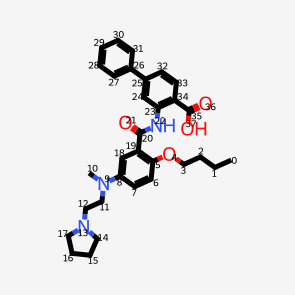 CCCCOc1ccc(N(C)CCN2CCCC2)cc1C(=O)Nc1cc(-c2ccccc2)ccc1C(=O)O